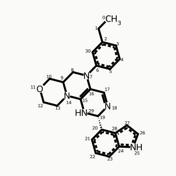 CCc1cccc(N2CC3COCCN3C3=C2C=N[C@H](c2cccc4[nH]ccc24)N3)c1